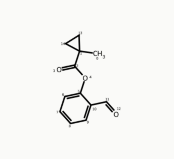 CC1(C(=O)Oc2ccccc2C=O)CC1